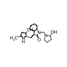 Cc1cc(C)c(C=C2C(=O)N(CN3CCCC3O)c3ccccc32)[nH]1